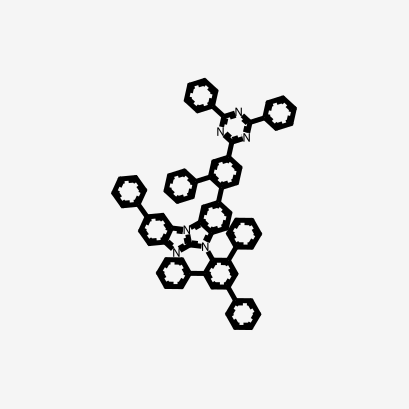 c1ccc(-c2cc(-c3ccccc3)c(-n3c4ccc(-c5ccc(-c6nc(-c7ccccc7)nc(-c7ccccc7)n6)cc5-c5ccccc5)cc4n4c5cc(-c6ccccc6)ccc5nc34)c(-c3ccccc3)c2)cc1